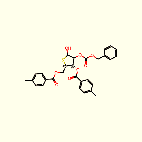 Cc1ccc(C(=O)OC[C@H]2SC(O)C(OC(=O)OCc3ccccc3)[C@@H]2OC(=O)c2ccc(C)cc2)cc1